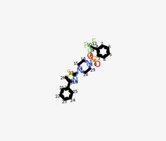 O=S(=O)(c1ccccc1C(F)(F)F)N1CCN(c2nc(-c3ccccc3)cs2)CC1